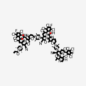 C=CC(=O)N1[C@H](C)CN(c2c(C#N)c(=O)n(-c3c(C)cc(/C=C\C(=O)N4[C@H](C)CN(c5c(C#N)c(=O)n(-c6c(C)cc(/C=C\C(=O)N7[C@H](C)CN(c8c(C#N)c(=O)n(-c9c(C)ccnc9C(C)C)c9nc(-c%10c(O)c(Cl)c(F)c(Cl)c%10Cl)c(Cl)cc89)C[C@@H]7C)nc6C(C)C)c6nc(-c7c(O)c(Cl)c(F)c(Cl)c7Cl)c(Cl)cc56)C[C@@H]4C)nc3C(C)C)c3nc(-c4c(O)c(Cl)c(F)c(Cl)c4Cl)c(Cl)cc23)C[C@@H]1C